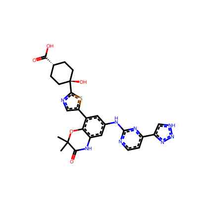 CC1(C)Oc2c(cc(Nc3nccc(-c4c[nH]nn4)n3)cc2-c2cnc([C@]3(O)CC[C@H](C(=O)O)CC3)s2)NC1=O